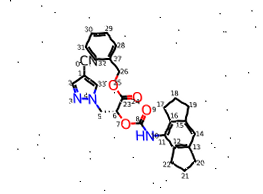 N#Cc1cnn(C[C@@H](OC(=O)Nc2c3c(cc4c2CCC4)CCC3)C(=O)OCc2ccccc2)c1